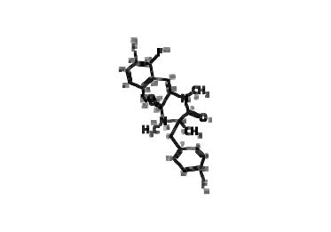 CN1C(=O)C(C)(Cc2ccc(F)cc2)N(C)C(=O)/C1=C\c1c([N+](=O)[O-])ccc(F)c1F